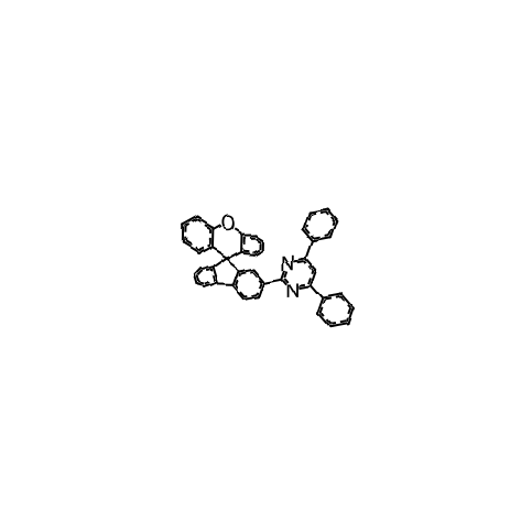 c1ccc(-c2cc(-c3ccccc3)nc(-c3ccc4c(c3)C3(c5ccccc5Oc5ccccc53)c3ccccc3-4)n2)cc1